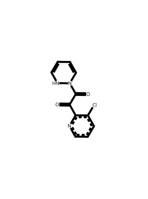 O=C(C(=O)N1C=CC=CN1)c1ncccc1Cl